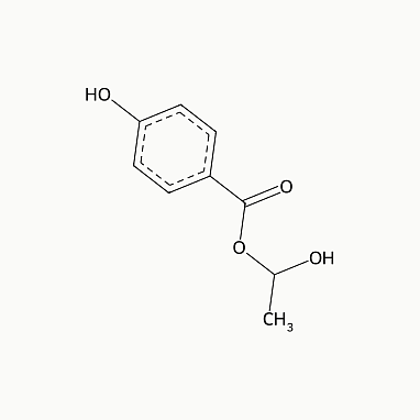 CC(O)OC(=O)c1ccc(O)cc1